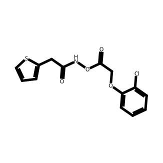 O=C(Cc1cccs1)NOC(=O)COc1ccccc1Cl